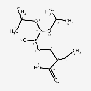 CCC(CS[S+]([O-])P(OC(C)C)OC(C)C)C(=O)O